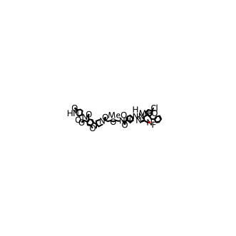 COc1cc(Nc2ncc3c(n2)-c2ccc(Cl)cc2C(c2c(F)cccc2OC)=NC3)ccc1C(=O)NCCOCCC(=O)N1CCC2(CC1)COc1cc3c(cc12)C(=O)N(C1CCC(=O)NC1=O)C3=O